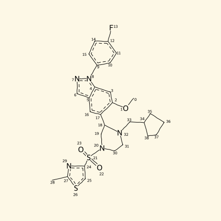 COc1cc2c(cnn2-c2ccc(F)cc2)cc1C1CN(S(=O)(=O)c2csc(C)n2)CCN1CC1CCCC1